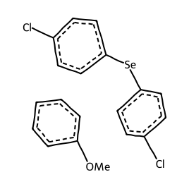 COc1ccccc1.Clc1ccc([Se]c2ccc(Cl)cc2)cc1